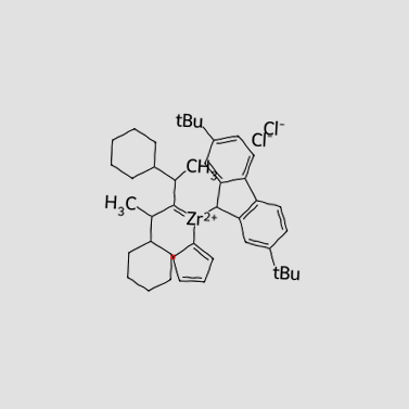 CC([C](C(C)C1CCCCC1)=[Zr+2]([C]1=CC=CC1)[CH]1c2cc(C(C)(C)C)ccc2-c2ccc(C(C)(C)C)cc21)C1CCCCC1.[Cl-].[Cl-]